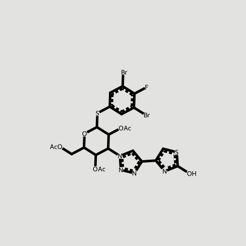 CC(=O)OCC1OC(Sc2cc(Br)c(F)c(Br)c2)C(OC(C)=O)C(n2cc(-c3csc(O)n3)nn2)C1OC(C)=O